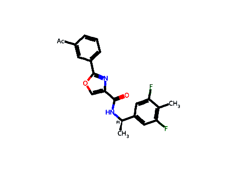 CC(=O)c1cccc(-c2nc(C(=O)N[C@H](C)c3cc(F)c(C)c(F)c3)co2)c1